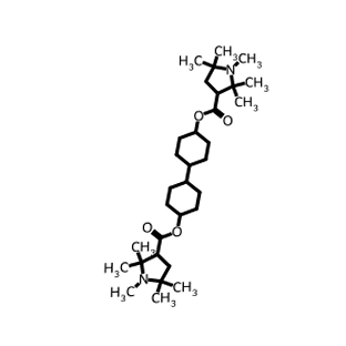 CN1C(C)(C)CC(C(=O)OC2CCC(C3CCC(OC(=O)C4CC(C)(C)N(C)C4(C)C)CC3)CC2)C1(C)C